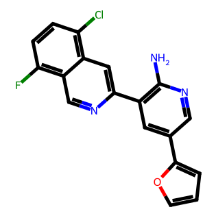 Nc1ncc(-c2ccco2)cc1-c1cc2c(Cl)ccc(F)c2cn1